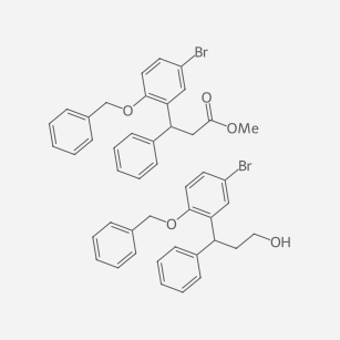 COC(=O)CC(c1ccccc1)c1cc(Br)ccc1OCc1ccccc1.OCCC(c1ccccc1)c1cc(Br)ccc1OCc1ccccc1